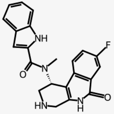 CN(C(=O)c1cc2ccccc2[nH]1)[C@H]1CNCc2[nH]c(=O)c3cc(F)ccc3c21